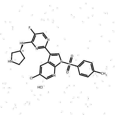 Cc1ccc(S(=O)(=O)n2cc(-c3ncc(F)c(N[C@H]4CCNC4)n3)c3cc(Cl)cnc32)cc1.Cl